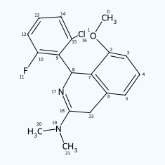 COc1cccc2c1C(c1c(F)cccc1Cl)N=C(N(C)C)C2